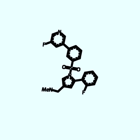 CNCc1cc(-c2ccccc2F)n(S(=O)(=O)c2cccc(-c3cncc(F)c3)c2)c1